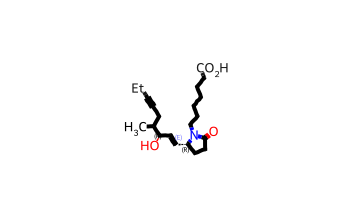 CCC#CCC(C)[C@@H](O)/C=C/[C@H]1CCC(=O)N1CCCCCCC(=O)O